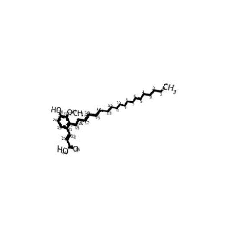 CCCCCCCCCCCCCCCCCCCCc1c(C=CC(=O)O)ccc(O)c1OC